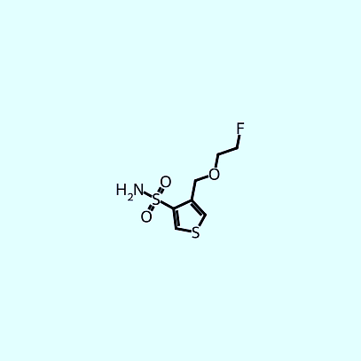 NS(=O)(=O)c1cscc1COCCF